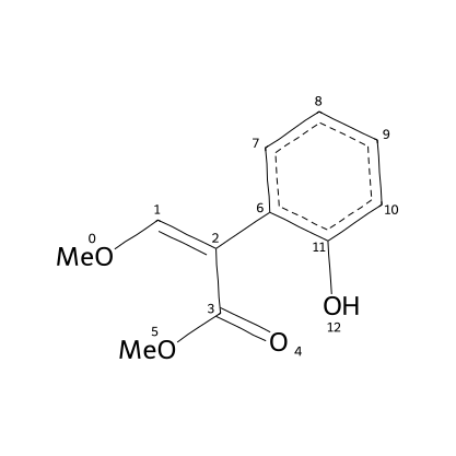 COC=C(C(=O)OC)c1ccccc1O